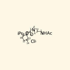 CC(=O)NCCC[N+](C)(C)CC(=O)OC1CC(C)CCC1C(C)C.[Cl-]